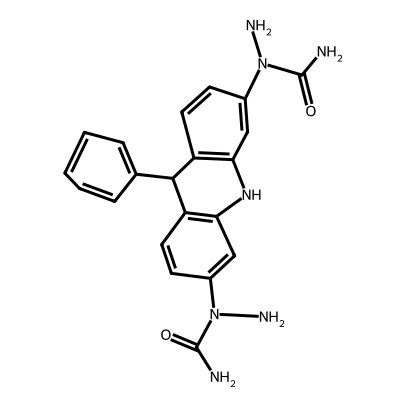 NC(=O)N(N)c1ccc2c(c1)Nc1cc(N(N)C(N)=O)ccc1C2c1ccccc1